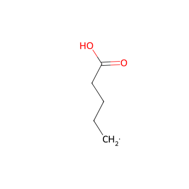 [CH2]CCCC(=O)O